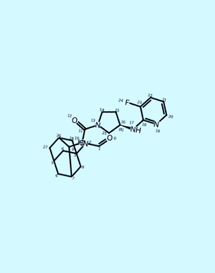 O=CNC12CC3CC(C1)C(OC(=O)N1CC[C@@H](Nc4ncccc4F)C1)C(C3)C2